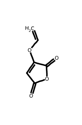 C=COC1=CC(=O)OC1=O